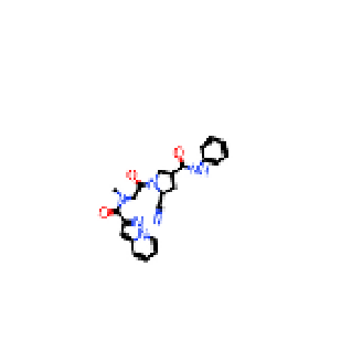 CN(CC(=O)N1CC(C(=O)Nc2ccccc2)CC1C#N)C(=O)c1cc2ccccn2n1